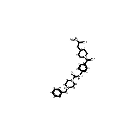 COC(=O)CC1CCN(C(=O)c2ccc(NC(=O)N3CCN(Cc4ccccc4)CC3)cc2)CC1